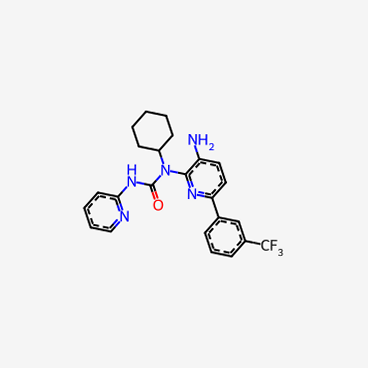 Nc1ccc(-c2cccc(C(F)(F)F)c2)nc1N(C(=O)Nc1ccccn1)C1CCCCC1